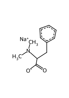 CN(C)C(Cc1ccccc1)C(=O)[O-].[Na+]